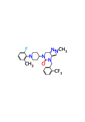 Cc1cccc(F)c1N1CCC(N2Cc3nn(C)cc3N(Cc3ccccc3C(F)(F)F)C2=O)CC1